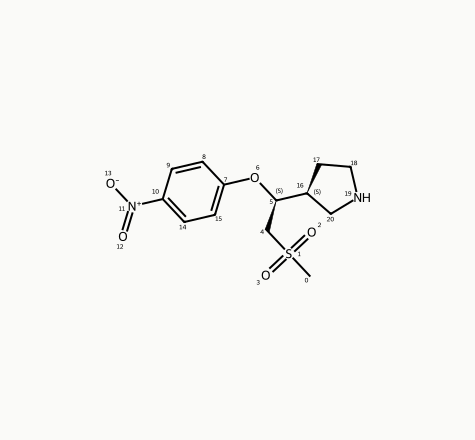 CS(=O)(=O)C[C@@H](Oc1ccc([N+](=O)[O-])cc1)[C@H]1CCNC1